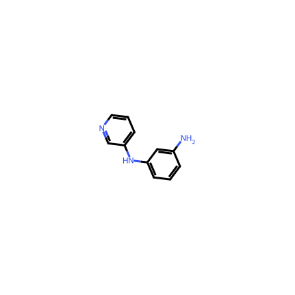 Nc1cccc(Nc2cccnc2)c1